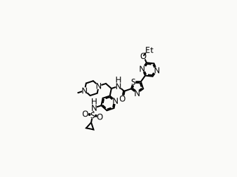 CCOc1cncc(-c2cnc(C(=O)NC(CN3CCN(C)CC3)c3cc(NS(=O)(=O)C4CC4)ccn3)s2)n1